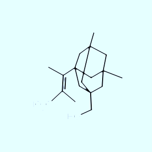 CC(C(=O)O)=C(C)C12CC3(C)CC(C)(CC(CO)(C3)C1)C2